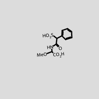 COC(NC(=O)C(c1ccccc1)S(=O)(=O)O)C(=O)O